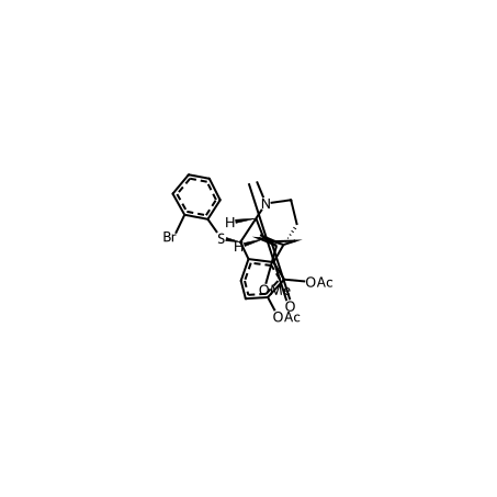 COC1=C[C@@H]2[C@@H]3[C@H](Sc4ccccc4Br)c4ccc(OC(C)=O)c(OC(C)=O)c4[C@]2(CCN3C)CC1=O